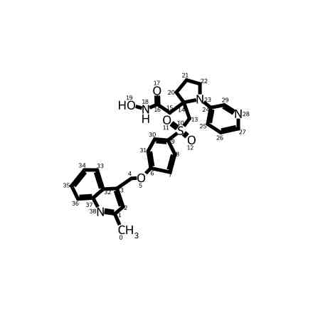 Cc1cc(COc2ccc(S(=O)(=O)CC3(CC(=O)NO)CCCN3c3cccnc3)cc2)c2ccccc2n1